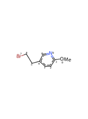 COc1ccc(CCBr)cn1